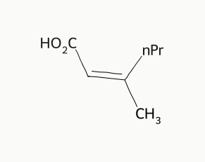 CCC/C(C)=C\C(=O)O